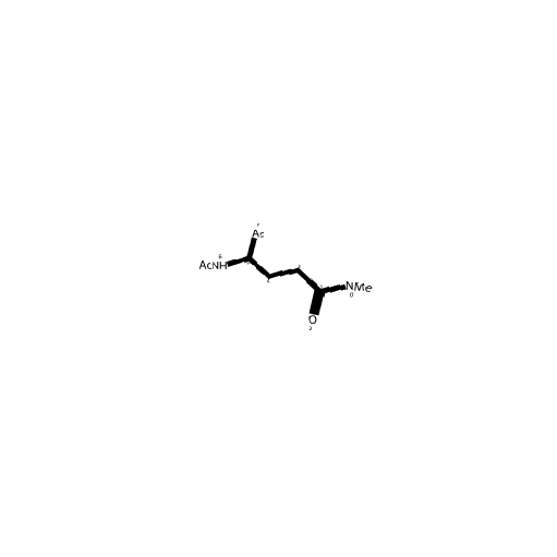 CNC(=O)CCC(NC(C)=O)C(C)=O